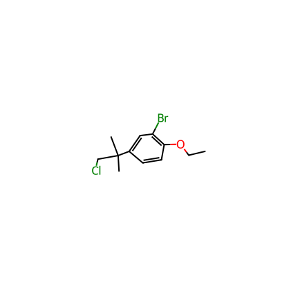 CCOc1ccc(C(C)(C)CCl)cc1Br